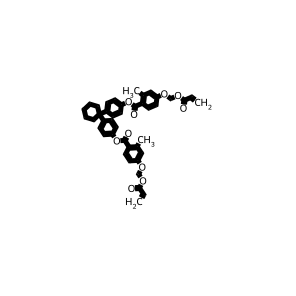 C=CC(=O)OCOc1ccc(C(=O)Oc2ccc(C3(c4ccc(OC(=O)c5ccc(OCOC(=O)C=C)cc5C)cc4)CCCCC3)cc2)c(C)c1